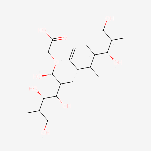 C=C[C@@H](CC(C(O)[C@H](O)C(C)CO)[C@@H](O)OCC(=O)O)C(C)C(C)[C@H](O)C(C)CO